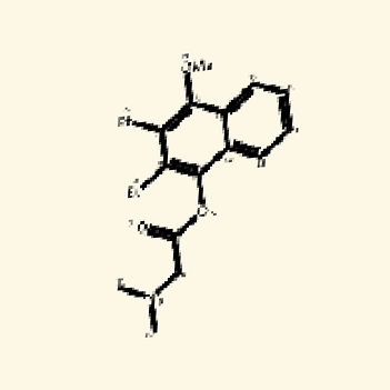 CCc1c(CC)c(OC(=O)CN(C)C)c2ccccc2c1OC